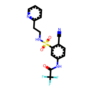 N#Cc1ccc(NC(=O)C(F)(F)F)cc1S(=O)(=O)NCCc1ccccn1